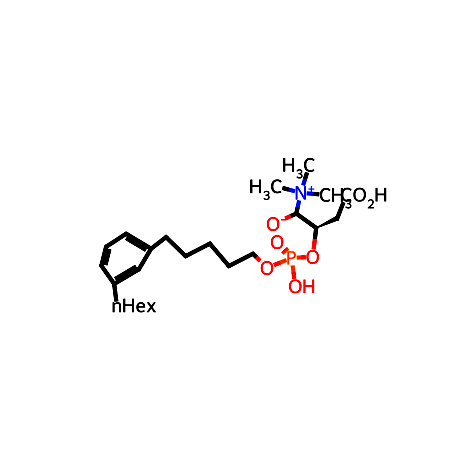 CCCCCCc1cccc(CCCCCOP(=O)(O)O[C@H](CC(=O)O)C([O-])[N+](C)(C)C)c1